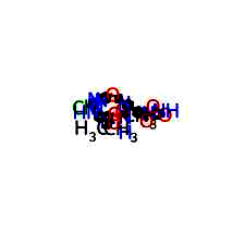 CNC(=O)COc1cc2cc(Nc3nc(N4CCC(O[C@H]5C[C@H](N6CC=C(c7ccc8c(c7)CN(C7CCC(=O)NC7=O)C8=O)CC6)C5)CC4)ncc3Cl)ccc2n(C(C)C)c1=O